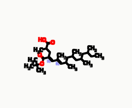 CCC(C)CC(C)CC(C)CC(C)/C=C(C)/C=C(\CC(C)C(=O)O)C(=O)OC(C)(C)C